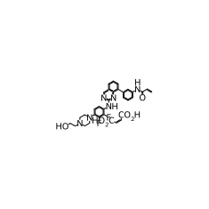 C=CC(=O)Nc1cccc(-c2cccc3cnc(Nc4ccc(N5CCN(CCO)CC5)c(F)c4F)nc23)c1.O=C(O)/C=C\C(=O)O